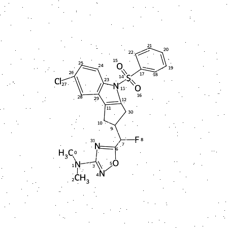 CN(C)c1noc(C(F)C2Cc3c(n(S(=O)(=O)c4ccccc4)c4ccc(Cl)cc34)C2)n1